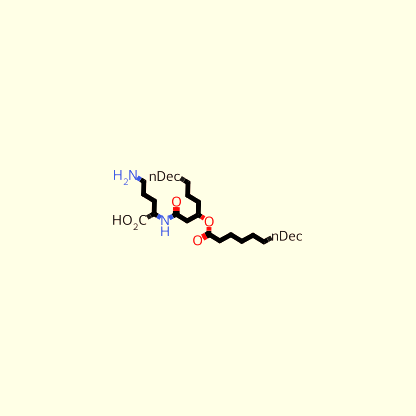 CCCCCCCCCCCCCCCC(=O)OC(CCCCCCCCCCCCC)CC(=O)NC(CCCN)C(=O)O